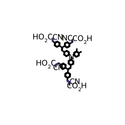 Cc1ccc(N(c2ccc(C=C(c3ccc(/C=C(\C#N)C(=O)O)cc3)c3ccc(/C=C(\C#N)C(=O)O)cc3)cc2)c2ccc(C=C(c3ccc(/C=C(\C#N)C(=O)O)cc3)c3ccc(/C=C(\C#N)C(=O)O)cc3)cc2)cc1C